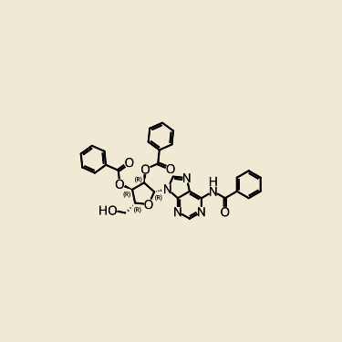 O=C(Nc1ncnc2c1ncn2[C@@H]1O[C@H](CO)[C@@H](OC(=O)c2ccccc2)[C@H]1OC(=O)c1ccccc1)c1ccccc1